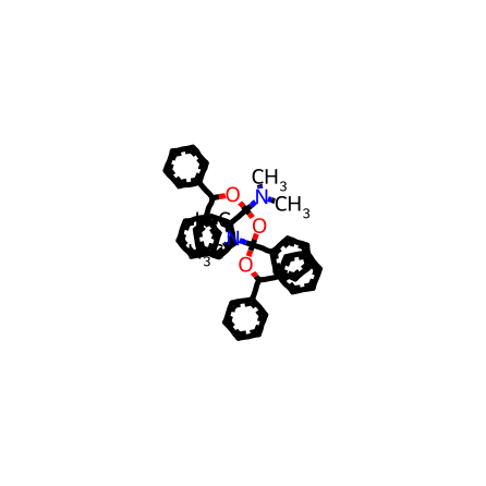 CN(C)C(OC(c1ccccc1)c1ccccc1)(OC(OC(c1ccccc1)c1ccccc1)(c1ccccc1)N(C)C)c1ccccc1